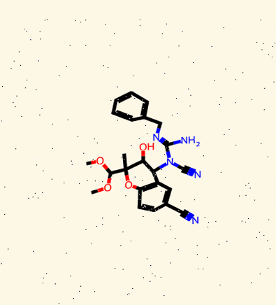 COC(OC)C1(C)Oc2ccc(C#N)cc2C(N(C#N)C(N)=NCc2ccccc2)C1O